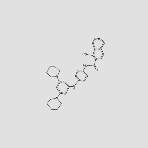 O=C(Nc1ccc(Nc2cc(N3CCCCC3)cc(N3CCCCC3)n2)cc1)c1ccc2ccccc2c1O